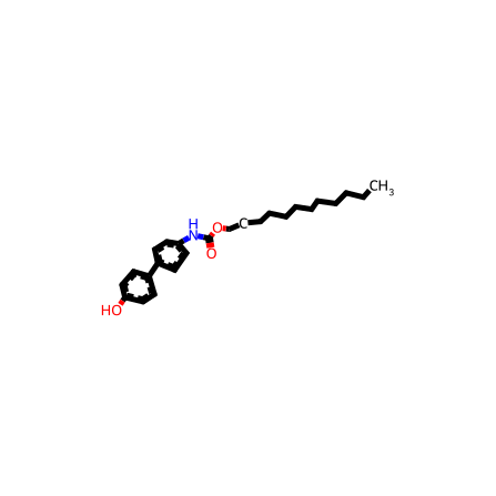 CCCCCCCCCCCCOC(=O)Nc1ccc(-c2ccc(O)cc2)cc1